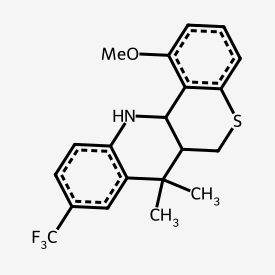 COc1cccc2c1C1Nc3ccc(C(F)(F)F)cc3C(C)(C)C1CS2